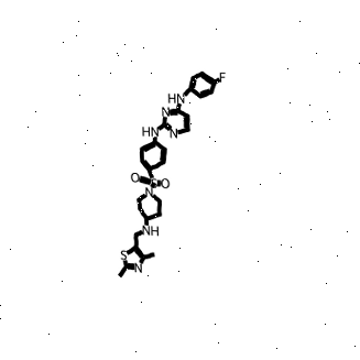 Cc1nc(C)c(CNC2CCN(S(=O)(=O)c3ccc(Nc4nccc(Nc5ccc(F)cc5)n4)cc3)CC2)s1